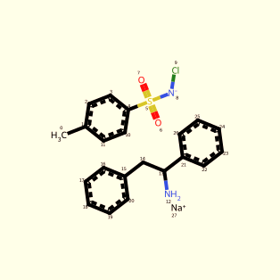 Cc1ccc(S(=O)(=O)[N-]Cl)cc1.NC(Cc1ccccc1)c1ccccc1.[Na+]